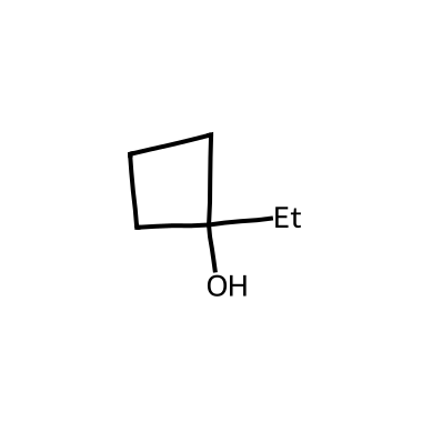 CCC1(O)CCC1